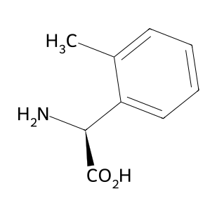 Cc1ccccc1[C@H](N)C(=O)O